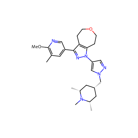 COc1ncc(-c2nn(-c3cnn(C[C@H]4C[C@@H](C)N(C)[C@@H](C)C4)c3)c3c2CCOCC3)cc1C